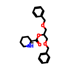 O=C(OC(COCc1ccccc1)COCc1ccccc1)[C@@H]1CCCCN1